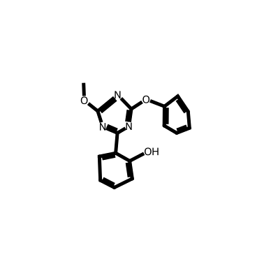 COc1nc(Oc2ccccc2)nc(-c2ccccc2O)n1